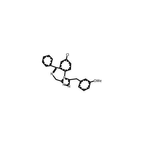 COc1cccc(Cc2nnc3n2-c2ccc(Cl)cc2C(c2ccccc2)=NC3)c1